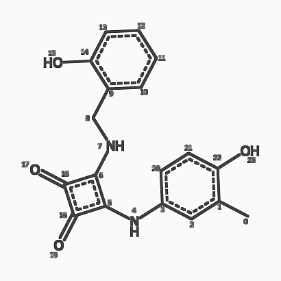 Cc1cc(Nc2c(NCc3ccccc3O)c(=O)c2=O)ccc1O